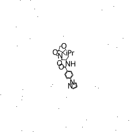 CC(C)CC(NC(=O)c1ccc(-n2cccn2)cc1)C(=O)N(C)C1(C)COCC1=O